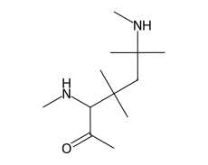 CNC(C(C)=O)C(C)(C)CC(C)(C)NC